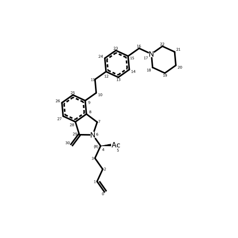 C=CCC[C@H](C(C)=O)N1Cc2c(CCc3ccc(CN4CCCCC4)cc3)cccc2C1=C